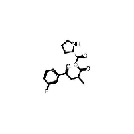 CC(CC(=O)c1cccc(F)c1)C(=O)OC(=O)[C@@H]1CCCN1